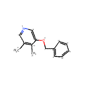 Cc1cncc(OCc2ccccc2)c1C